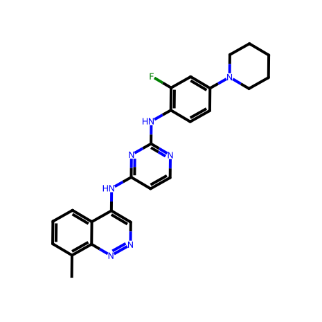 Cc1cccc2c(Nc3ccnc(Nc4ccc(N5CCCCC5)cc4F)n3)cnnc12